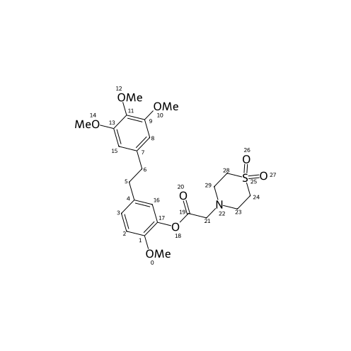 COc1ccc(CCc2cc(OC)c(OC)c(OC)c2)cc1OC(=O)CN1CCS(=O)(=O)CC1